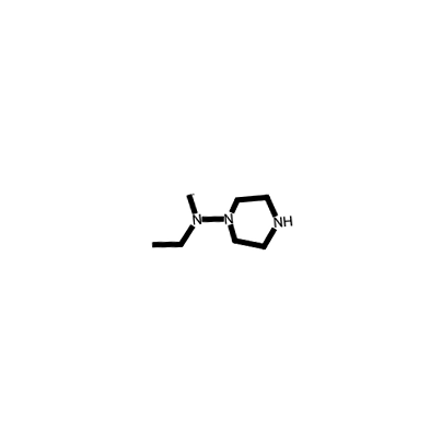 [CH2]N(CC)N1CCNCC1